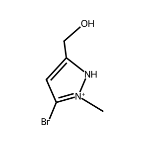 C[n+]1[nH]c(CO)cc1Br